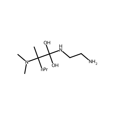 CCCC(C)(N(C)C)C(O)(O)NCCN